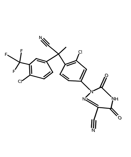 CC(C#N)(c1ccc(Cl)c(C(F)(F)F)c1)c1ccc(-n2nc(C#N)c(=O)[nH]c2=O)cc1Cl